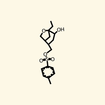 CCC12CC(CO1)C(COS(=O)(=O)c1ccc(C)cc1)CC2O